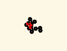 c1ccc(-c2ccc(-c3ccccc3N(c3ccc(-c4cccc(-c5ccccc5-n5c6ccccc6c6ccccc65)c4)cc3)c3ccc(-c4cccc5ccccc45)cc3)cc2)cc1